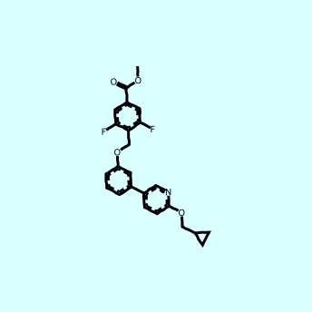 COC(=O)c1cc(F)c(COc2cccc(-c3ccc(OCC4CC4)nc3)c2)c(F)c1